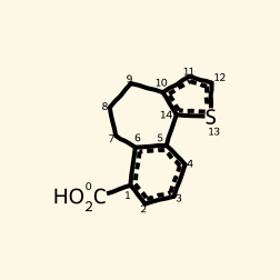 O=C(O)c1cccc2c1CCCc1ccsc1-2